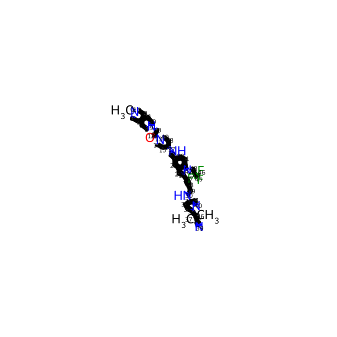 CN1CCC2(CC1)CCN(CC(=O)N1CCC(NCc3ccc4c(c3)cc(C#CCNc3ccc(C(C)(C)C#N)nc3)n4CC(F)(F)F)CC1)CC2